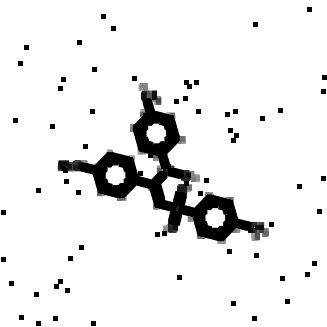 COc1ccc(C(=CS(=O)(=O)c2ccc(C)cc2)[S+]([O-])c2ccc(C)cc2)cc1